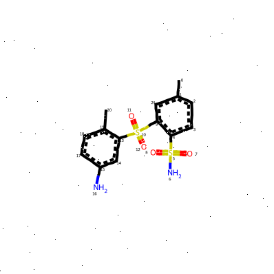 Cc1ccc(S(N)(=O)=O)c(S(=O)(=O)c2cc(N)ccc2C)c1